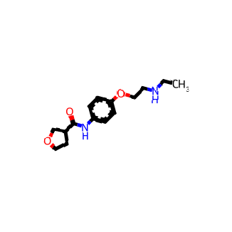 CCNCCOc1ccc(NC(=O)C2CCOC2)cc1